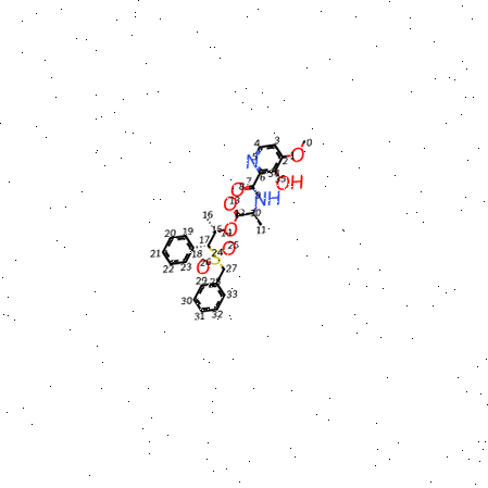 COc1ccnc(C(=O)N[C@@H](C)C(=O)O[C@@H](C)[C@@H](c2ccccc2)S(=O)(=O)Cc2ccccc2)c1O